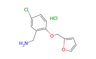 Cl.NCc1cc(Cl)ccc1OCc1ccco1